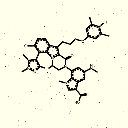 CNc1cc(N2CC(C)n3c(c(CCCOc4cc(C)c(Cl)c(C)c4)c4ccc(Cl)c(-c5c(C)nn(C)c5C)c43)C2=O)c2c(c1)c(C(=O)O)cn2C